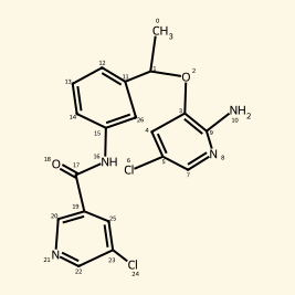 CC(Oc1cc(Cl)cnc1N)c1cccc(NC(=O)c2cncc(Cl)c2)c1